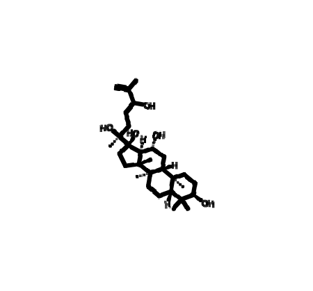 C=C(C)C(O)CC[C@](C)(O)[C@@]1(O)CC[C@]2(C)[C@@H]1[C@H](O)C[C@@H]1[C@@]3(C)CC[C@@H](O)C(C)(C)[C@@H]3CC[C@]12C